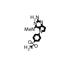 CNc1nc(N)nc2ccn(-c3ccc(S(N)(=O)=O)cc3)c12